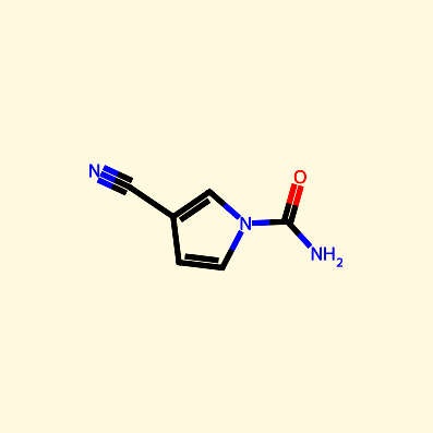 N#Cc1ccn(C(N)=O)c1